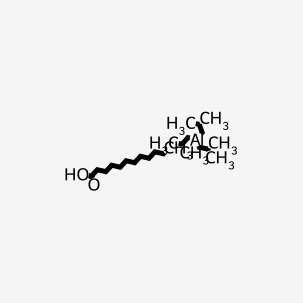 CC(C)[CH2][Al]([CH2]C(C)C)[CH2]C(C)C.CCCCCCCCCCCC(=O)O